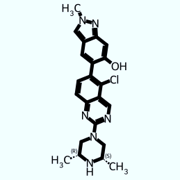 C[C@@H]1CN(c2ncc3c(Cl)c(-c4cc5cn(C)nc5cc4O)ccc3n2)C[C@H](C)N1